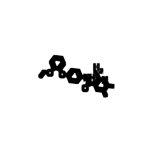 CCOc1ccccc1Oc1ccc(NC(=O)c2cc(C)c(C)nc2N)cc1